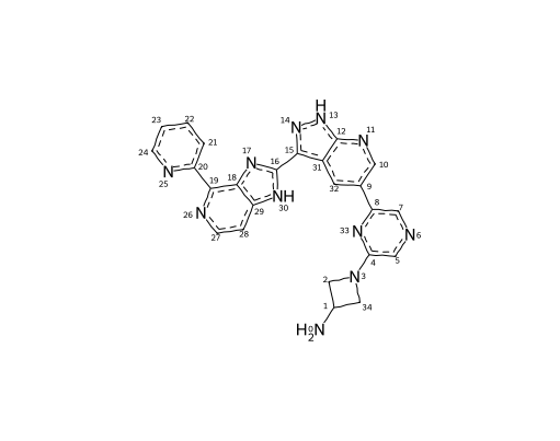 NC1CN(c2cncc(-c3cnc4[nH]nc(-c5nc6c(-c7ccccn7)nccc6[nH]5)c4c3)n2)C1